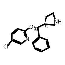 Clc1ccc(O[C@@H](c2ccccc2)[C@H]2CCNC2)nc1